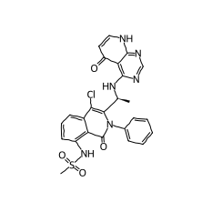 C[C@H](Nc1ncnc2[nH]ccc(=O)c12)c1c(Cl)c2cccc(NS(C)(=O)=O)c2c(=O)n1-c1ccccc1